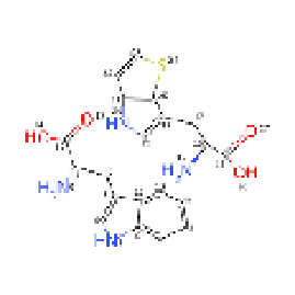 N[C@@H](Cc1c[nH]c2ccccc12)C(=O)O.N[C@@H](Cc1c[nH]c2ccsc12)C(=O)O